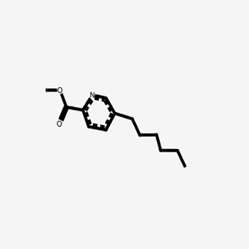 CCCCCCc1ccc(C(=O)OC)nc1